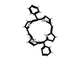 c1ccc(-c2c3nc(cc4ccc([nH]4)c(-c4ccccc4)c4nc(cc5ccc2[nH]5)CC4)CC3)cc1